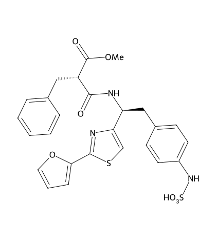 COC(=O)[C@@H](Cc1ccccc1)C(=O)N[C@@H](Cc1ccc(NS(=O)(=O)O)cc1)c1csc(-c2ccco2)n1